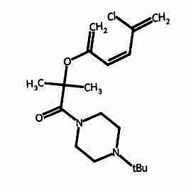 C=C(Cl)/C=C\C(=C)OC(C)(C)C(=O)N1CCN(C(C)(C)C)CC1